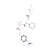 CNCNC(=O)CN[C@H](C(=O)N1CC[C@@H]1C(=O)NCc1ccc(C(=N)N)cc1)C1CCCCC1